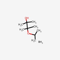 B.CC(C)OC(C)(C)C(C)(C)O